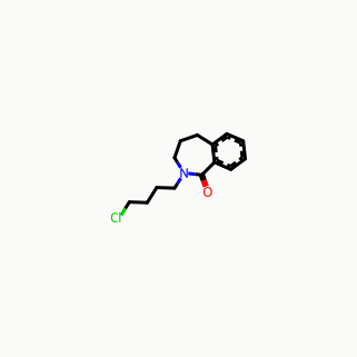 O=C1c2ccccc2CCCN1CCCCCl